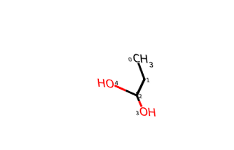 CC[C](O)O